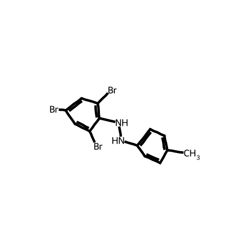 Cc1ccc(NNc2c(Br)cc(Br)cc2Br)cc1